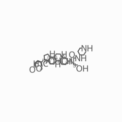 C[C@]12CC[C@H](N(CCO)C(=O)NC3CCNCC3)C[C@H]1CC[C@@H]1[C@@H]2CC[C@]2(C)[C@@H](c3ccc(=O)oc3)CC[C@]12O